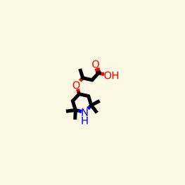 CC(CC(=O)O)OC1CC(C)(C)NC(C)(C)C1